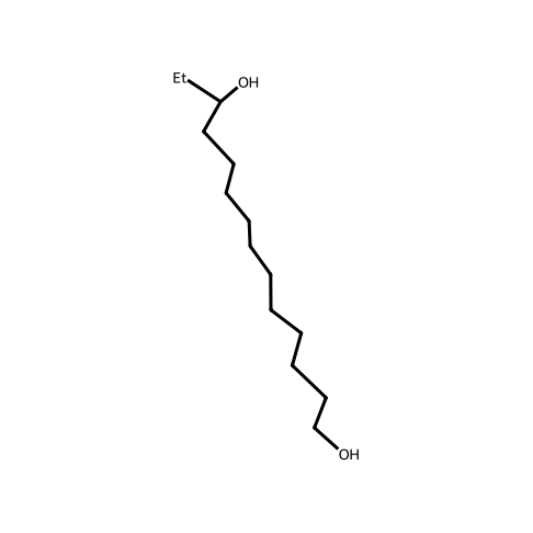 CCC(O)CCCCCCCCCCCO